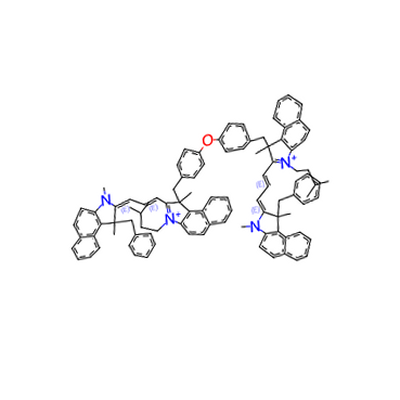 CC(C)CC[N+]1=C(/C=C/C=C2/N(C)c3ccc4ccccc4c3C2(C)Cc2ccccc2)C(C)(Cc2ccc(Oc3ccc(CC4(C)C(/C=C/C=C5/N(C)c6ccc7ccccc7c6C5(C)Cc5ccccc5)=[N+](CCC(C)C)c5ccc6ccccc6c54)cc3)cc2)c2c1ccc1ccccc21